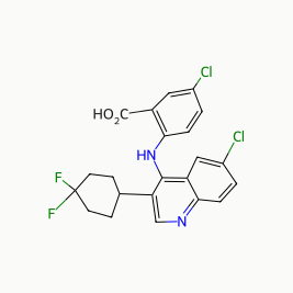 O=C(O)c1cc(Cl)ccc1Nc1c(C2CCC(F)(F)CC2)cnc2ccc(Cl)cc12